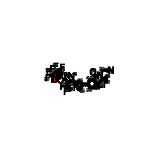 Cn1nc(OS(=O)(=O)C(F)(C(F)(F)F)C(F)(F)F)c(C(F)(F)F)c1-n1cc(-c2ccc(Cl)c(C(=O)N(CC#N)C3(C#N)CC3)c2)cn1